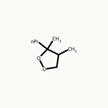 CCCC1(C)OOCC1C